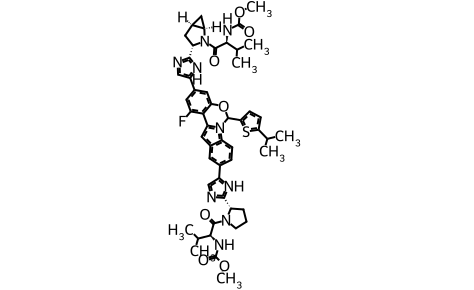 COC(=O)N[C@H](C(=O)N1CCC[C@H]1c1ncc(-c2ccc3c(c2)cc2n3C(c3ccc(C(C)C)s3)Oc3cc(-c4cnc([C@@H]5C[C@H]6C[C@H]6N5C(=O)[C@@H](NC(=O)OC)C(C)C)[nH]4)cc(F)c3-2)[nH]1)C(C)C